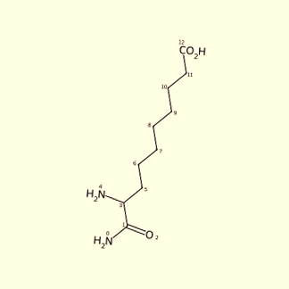 NC(=O)C(N)CCCCCCCC(=O)O